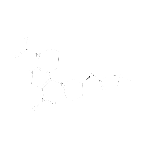 CC(C)(C)OC(=O)N[C@H]1CCCN(c2c([N+](=O)[O-])cnc3c2CCCN3C(=O)O)C1